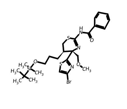 COC[C@]1(c2nc(Br)cs2)N=C(NC(=O)c2ccccc2)SC[C@@H]1CCCO[Si](C)(C)C(C)(C)C